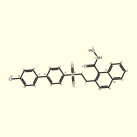 O=C(NO)c1c(CCS(=O)(=O)c2ccc(-c3ccc(Cl)cc3)cc2)ccc2ccccc12